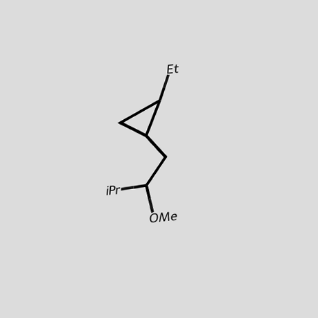 CCC1CC1CC(OC)C(C)C